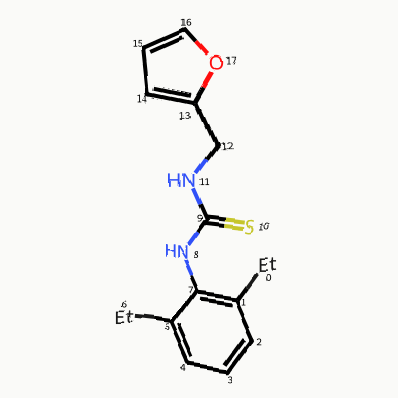 CCc1cccc(CC)c1NC(=S)NCc1ccco1